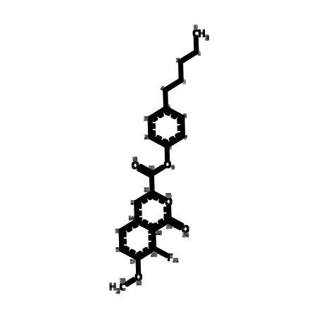 CCCCCc1ccc(OC(=O)c2cc3ccc(OC)c(F)c3c(=O)o2)cc1